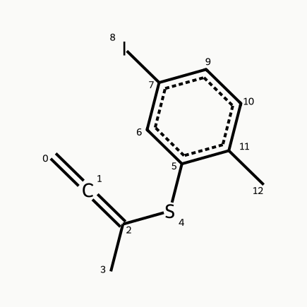 C=C=C(C)Sc1cc(I)ccc1C